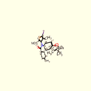 Cc1c(I)sc(C(=O)O)c1N(C(=O)C1CCC(C)CC1)C1CCC(O[Si](C)(C)C(C)(C)C)CC1